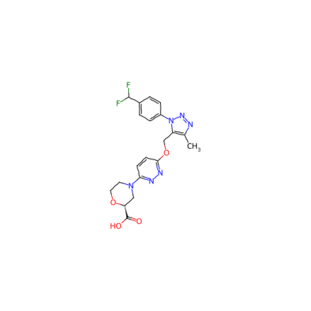 Cc1nnn(-c2ccc(C(F)F)cc2)c1COc1ccc(N2CCO[C@H](C(=O)O)C2)nn1